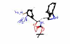 CC(C)(C)OC(=O)N[C@@H](Cc1c[nH]c2ccccc12)C(=O)c1cccc(SN)c1N